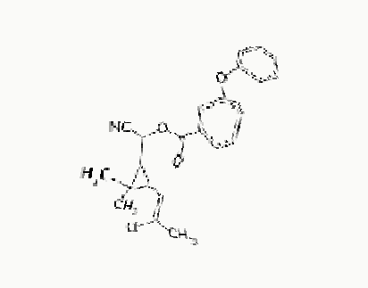 C/C(Cl)=C/C1C(C(C#N)OC(=O)c2cccc(Oc3ccccc3)c2)C1(C)C